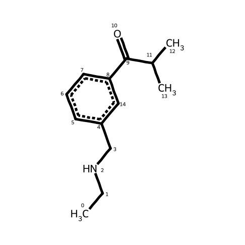 CCNCc1cccc(C(=O)C(C)C)c1